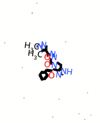 Cc1c(-c2nnc(C(=O)N3CCc4[nH]cnc4[C@H]3c3cc4ccccc4o3)o2)cnn1C